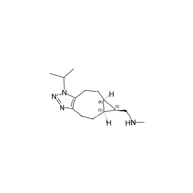 CNC[C@@H]1[C@@H]2CCc3c(nnn3C(C)C)CC[C@@H]21